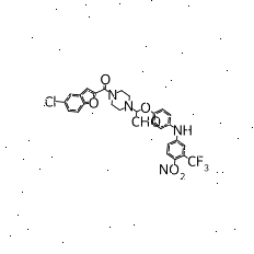 O=CC(Oc1ccc(Nc2ccc([N+](=O)[O-])c(C(F)(F)F)c2)cc1)N1CCN(C(=O)c2cc3cc(Cl)ccc3o2)CC1